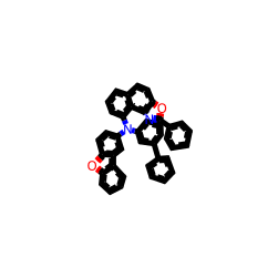 c1ccc(-c2cccc(N(c3ccc4oc5ccccc5c4c3)c3cccc4ccc5oc(-c6ccccc6)nc5c34)c2)cc1